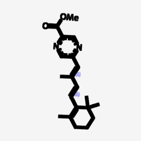 COC(=O)c1cnc(/C=C(C)/C=C/C2=C(C)CCCC2(C)C)cn1